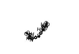 COC(=O)NC(C(=O)N1CCCC1c1ncc(-c2ccc(-c3ccc(-c4ccc(-c5cnc(C6CCCN6C(=O)C(NC(=O)OC)C(C)C)[nH]5)cc4)s3)cc2)[nH]1)C(C)C